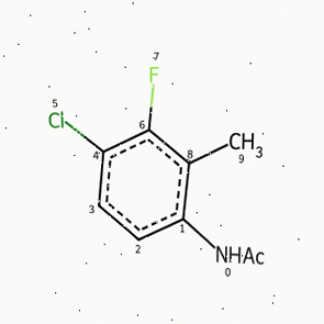 CC(=O)Nc1ccc(Cl)c(F)c1C